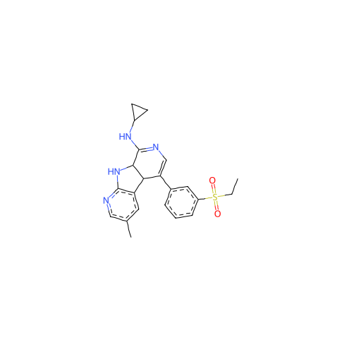 CCS(=O)(=O)c1cccc(C2=CN=C(NC3CC3)C3Nc4ncc(C)cc4C23)c1